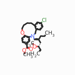 C=C[C@@H](C/C(=C/N1Cc2ccc(Cl)cc2CCCCOc2ccc(C(=O)OC)cc21)CCC)OC